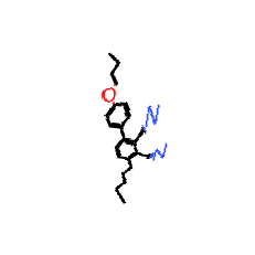 CCCCCc1ccc(-c2ccc(OCCCC)cc2)c(C#N)c1C#N